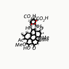 COc1c(O)c2c(=O)cc(OC)c3c4c(OC)cc(=O)c5c(NC6CCC(C(=O)O)C6)c(NC6CCC(C(=O)O)C6)c6c(c(c1C(C(C)=O)C(C)=C6)c23)c54